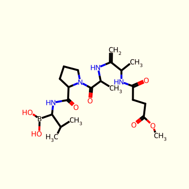 C=C(NC(C)C(=O)N1CCCC1C(=O)NC(B(O)O)C(C)C)C(C)NC(=O)CCC(=O)OC